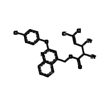 CC(C)C(C=C(Cl)Cl)C(C(=O)OCc1cc(Oc2ccc(Cl)cc2)nc2ccccc12)C(C)C